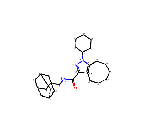 O=C(NCC12CC3CC(CC(C3)C1)C2)c1nn(C2CCCCC2)c2c1CCCCCC2